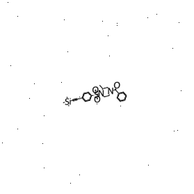 CC1CN(C(=O)c2ccccc2)CCN1S(=O)(=O)c1ccc(C#C[Si](C)(C)C)cc1